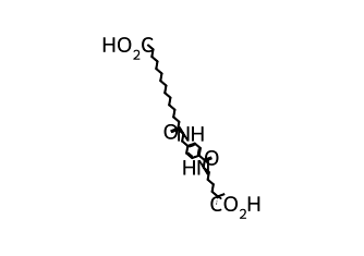 C[C@@H](CCCCNC(=O)c1ccc(CNC(=O)CCCCCCCCCCCCCC(=O)O)cc1)C(=O)O